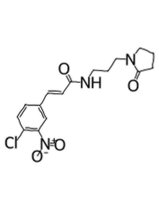 O=C(C=Cc1ccc(Cl)c([N+](=O)[O-])c1)NCCCN1CCCC1=O